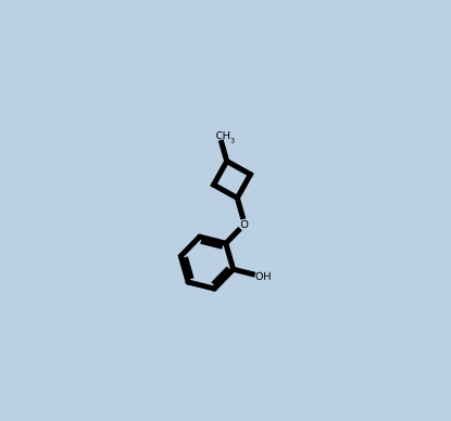 CC1CC(Oc2ccccc2O)C1